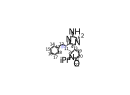 CC(C)n1cc(-c2ncc(N)nc2/C=C/c2ccccc2)ccc1=O